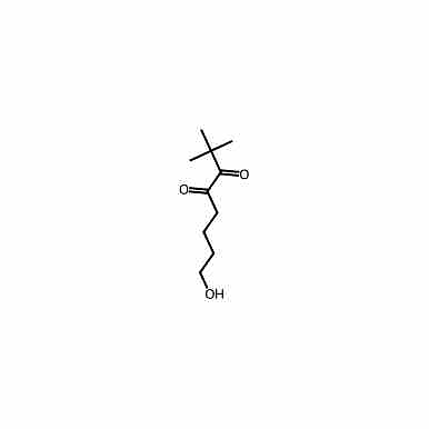 CC(C)(C)C(=O)C(=O)CCCCO